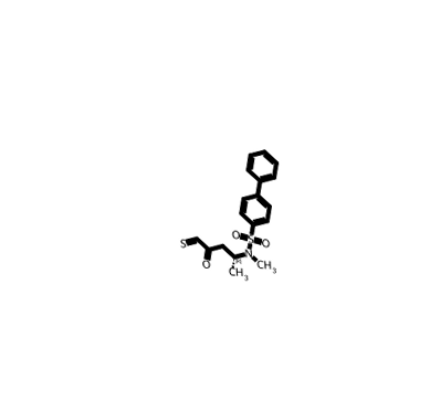 C[C@H](CC(=O)C=S)N(C)S(=O)(=O)c1ccc(-c2ccccc2)cc1